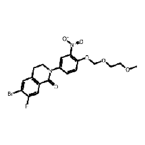 COCCOCOc1ccc(N2CCc3cc(Br)c(F)cc3C2=O)cc1[N+](=O)[O-]